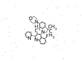 Cc1c(-c2ccccn2)nc2cccc(F)c2c1N1CC(C)(C)c2ccc(N3CCOCC3)cc21